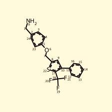 NCc1ccc(OCc2cc(-c3ccccc3)c(C(F)(F)F)s2)cc1